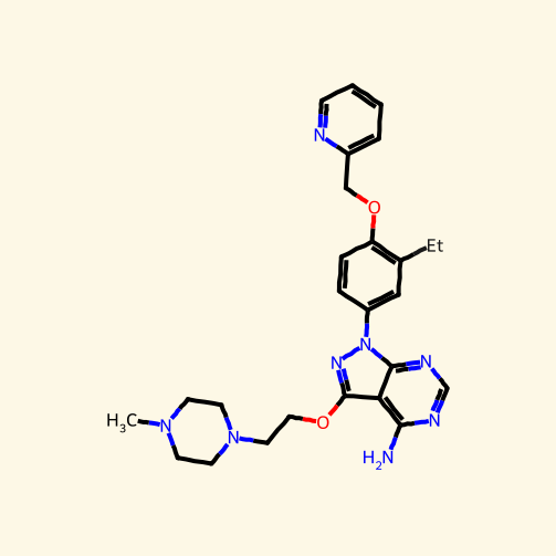 CCc1cc(-n2nc(OCCN3CCN(C)CC3)c3c(N)ncnc32)ccc1OCc1ccccn1